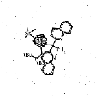 CC(C)(C)P(C[C]12[CH]3[C]4([Si](C)(C)C)[CH]5[C]1(C(P)(c1ccc6ccccc6n1)c1ccc6ccccc6n1)[Fe]35241678[CH]2[CH]1[CH]6[CH]7[CH]28)C(C)(C)C